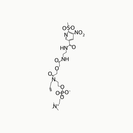 C#CCN(CCOP(=O)([O-])OCC[N+](C)(C)C)C(=O)COCC(=O)NCCNC(=O)c1cnc(S(C)(=O)=O)c([N+](=O)[O-])c1